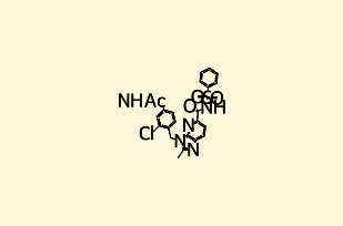 CC(=O)Nc1ccc(Cn2c(C)nc3ccc(C(=O)NS(=O)(=O)c4ccccc4)nc32)c(Cl)c1